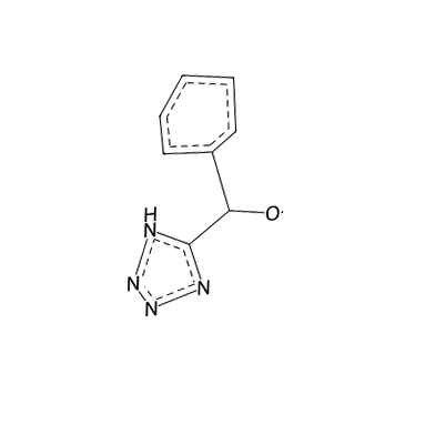 [O]C(c1ccccc1)c1nnn[nH]1